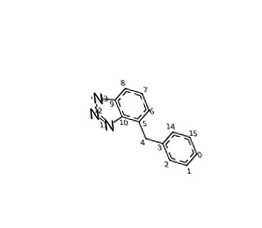 c1ccc(Cc2cccc3c2N=N[N]3)cc1